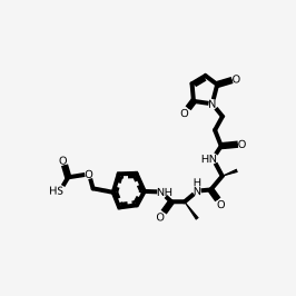 C[C@H](NC(=O)CCN1C(=O)C=CC1=O)C(=O)N[C@@H](C)C(=O)Nc1ccc(COC(=O)S)cc1